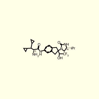 CC(C)[C@@H]1CN(C2(C(O)C(F)(F)F)Cc3ccc(NC(=O)[C@@H](N)C(C4CC4)C4CC4)cc3C2)C(=O)N1